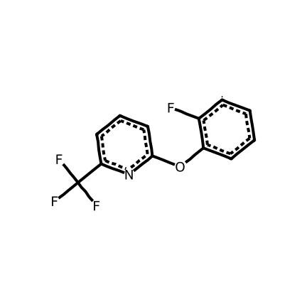 Fc1[c]cccc1Oc1cccc(C(F)(F)F)n1